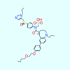 CCCCOCCOc1ccc(-c2ccc3c(c2)/C=C(/C(=O)N(CS(=O)(=O)O)c2ccc([S@@+]([O-])Cc4cncn4CCC)cc2)CCCN3CCC)cc1